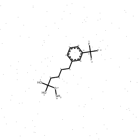 OC(O)(CCCCc1cccc(C(F)(F)F)c1)O[SiH3]